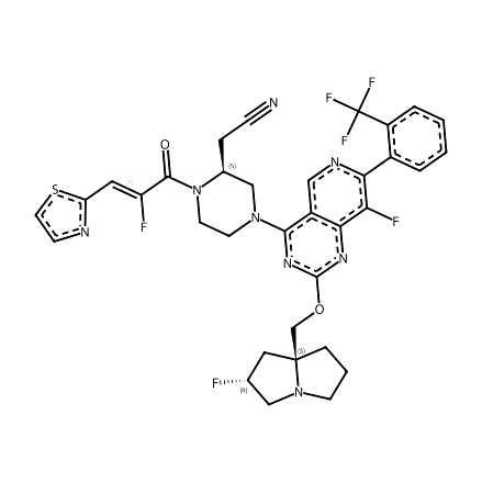 N#CC[C@H]1CN(c2nc(OC[C@@]34CCCN3C[C@H](F)C4)nc3c(F)c(-c4ccccc4C(F)(F)F)ncc23)CCN1C(=O)/C(F)=C/c1nccs1